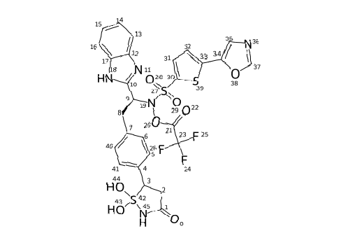 O=C1CC(c2ccc(C[C@@H](c3nc4ccccc4[nH]3)N(OC(=O)C(F)(F)F)S(=O)(=O)c3ccc(-c4cnco4)s3)cc2)S(O)(O)N1